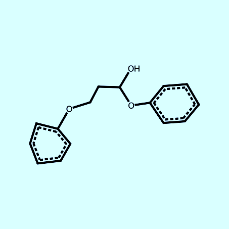 OC(CCOc1ccccc1)Oc1ccccc1